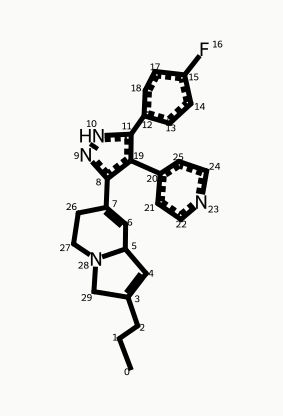 CCCC1=CC2C=C(c3n[nH]c(-c4ccc(F)cc4)c3-c3ccncc3)CCN2C1